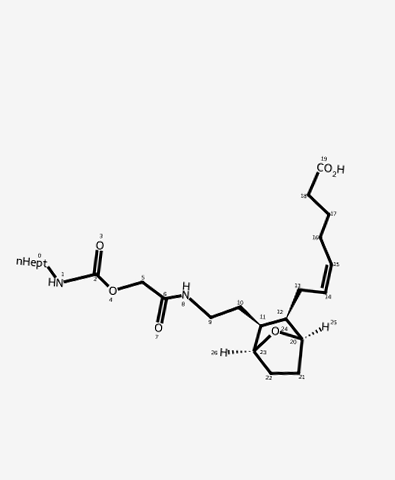 CCCCCCCNC(=O)OCC(=O)NCC[C@H]1[C@@H](C/C=C\CCCC(=O)O)[C@H]2CC[C@@H]1O2